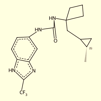 C[C@H]1CC1CC1(NC(=O)Nc2ccc3[nH]c(C(F)(F)F)nc3c2)CCC1